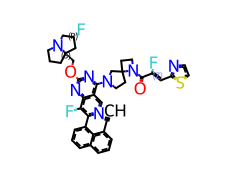 C#Cc1cccc2cccc(-c3ncc4c(N5CCC6(CCN6C(=O)/C(F)=C/c6nccs6)C5)nc(OC[C@@]56CCCN5C[C@H](F)C6)nc4c3F)c12